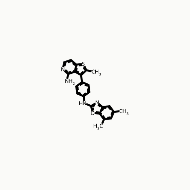 Cc1cc(C)c2oc(Nc3ccc(-c4c(C)sc5ccnc(N)c45)cc3)nc2c1